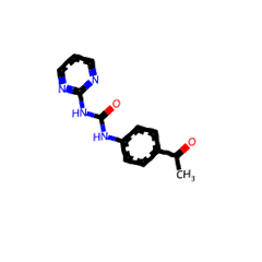 CC(=O)c1ccc(NC(=O)Nc2ncccn2)cc1